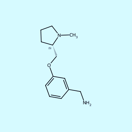 CN1CCC[C@H]1COc1cccc(CN)c1